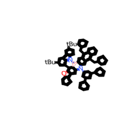 CC(C)(C)c1ccc2c(c1)c1cc(C(C)(C)C)cc3c1n2B1c2cc4c(Cc5ccccc5)c5ccccc5c(Cc5ccccc5)c4cc2N(c2cc(-c4ccccc4)cc(-c4ccccc4)c2)c2cc4c(oc5ccccc54)c-3c21